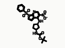 CC(C)(C)OC(=O)N[C@H]1CC[C@@H](Nc2c([N+](=O)[O-])cnc3c2ccn3S(=O)(=O)c2ccccc2)C1